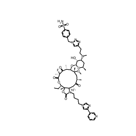 CC[C@H]1OC(=O)[C@@](C)(F)C(=O)[C@H](C)[C@@H](O[C@@H]2O[C@H](C)C[C@H](N(C)CCc3cn(Cc4ccc(S(N)(=O)=O)cc4)nn3)[C@H]2O)[C@](C)(OC)C[C@@H](C)C(=O)[C@H](C)[C@H]2N(CCCCn3cnc(-c4cccnc4)c3)C(=O)O[C@]12C